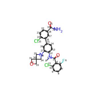 CN(C(=O)c1c(F)cccc1Cl)c1ccc(-c2cc(C(N)=O)ccc2Cl)cc1N1CC2(COC2)C1